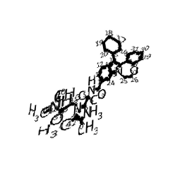 Cc1nc(C(C)(C)NC(=O)c2ccc3c(C4CCCCC4)c4n(c3c2)CCOc2ccccc2-4)n(CC(=O)N(C)C)c1C